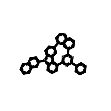 c1ccc(-c2ccc3c(c2)c2c(-c4nc(-c5ccccc5)nc(-c5ccccc5)n4)cccc2n3-c2ccc3ccccc3c2)cc1